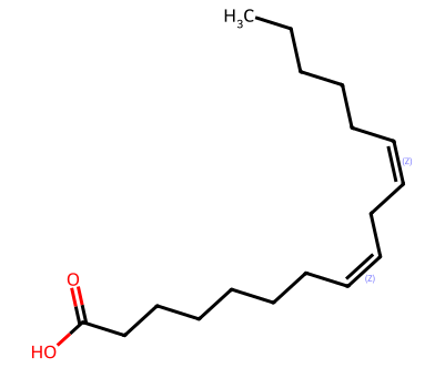 CCCCC/C=C\C/C=C\CCCCCCC(=O)O